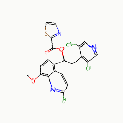 COc1ccc(C(Cc2c(Cl)cncc2Cl)OC(=O)c2nccs2)c2ccc(Cl)nc12